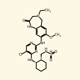 CCN1CC(=O)Nc2cc(Nc3ncc(Cl)c(N[C@@H]4CCCC[C@@H]4CN[SH](=O)=O)n3)c(OC)cc2C1